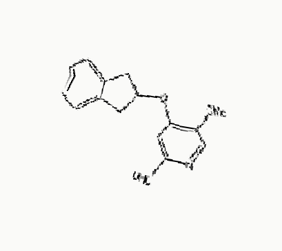 COc1cnc(C=O)cc1OC1Cc2ccccc2C1